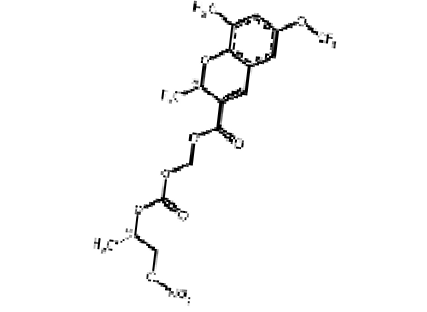 Cc1cc(OC(F)(F)F)cc2c1O[C@H](C(F)(F)F)C(C(=O)OCOC(=O)O[C@@H](C)CO[N+](=O)[O-])=C2